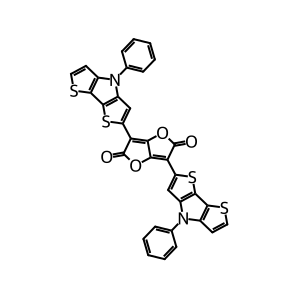 O=C1OC2=C(c3cc4c(s3)c3sccc3n4-c3ccccc3)C(=O)OC2=C1c1cc2c(s1)c1sccc1n2-c1ccccc1